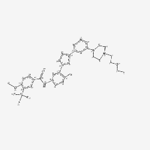 CCOCCN1CCN(c2cncc(-c3cn(-c4cc(NC(=O)c5ccc(OC)c(C(F)(F)F)c5)cnc4C)nn3)c2)CC1